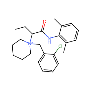 CCC(C(=O)Nc1c(C)cccc1C)[N+]1(Cc2ccccc2Cl)CCCCC1